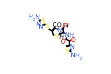 Nc1nc(C(=O)C(=O)NC2C(=O)N3C(C(=O)O)=C(CSc4nnc(N)s4)CS[C@@H]23)cs1